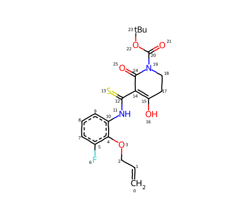 C=CCOc1c(F)cccc1NC(=S)C1=C(O)CCN(C(=O)OC(C)(C)C)C1=O